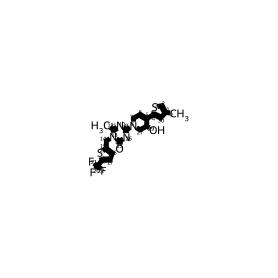 Cc1csc(C2=CCN(c3nc(C)n(Cc4ccc(C(F)(F)F)s4)c(=O)n3)CC2O)c1